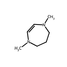 CN1C=CN(C)CCC1